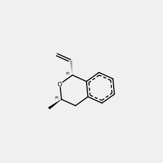 C=C[C@H]1O[C@H](C)Cc2ccccc21